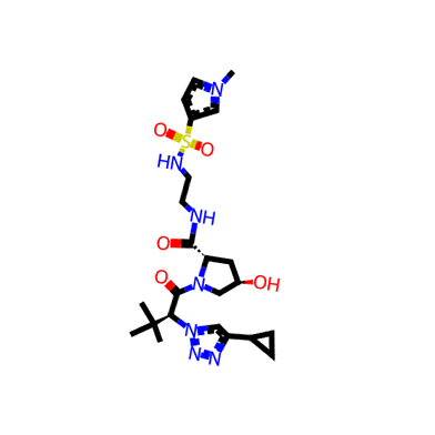 Cn1ccc(S(=O)(=O)NCCNC(=O)[C@@H]2C[C@@H](O)CN2C(=O)[C@@H](n2cc(C3CC3)nn2)C(C)(C)C)c1